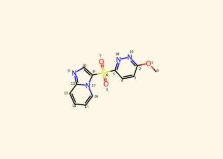 COc1ccc(S(=O)(=O)c2cnc3ccccn23)nn1